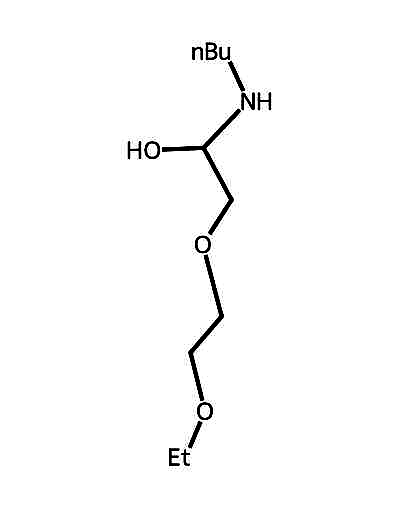 CCCCNC(O)COCCOCC